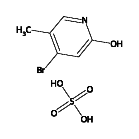 Cc1cnc(O)cc1Br.O=S(=O)(O)O